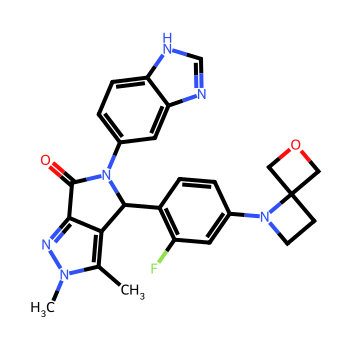 Cc1c2c(nn1C)C(=O)N(c1ccc3[nH]cnc3c1)C2c1ccc(N2CCC23COC3)cc1F